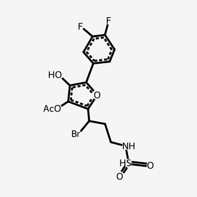 CC(=O)Oc1c(C(Br)CCN[SH](=O)=O)oc(-c2ccc(F)c(F)c2)c1O